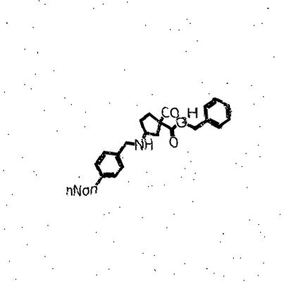 CCCCCCCCCc1ccc(CNC2CCC(C(=O)O)(C(=O)OCc3ccccc3)C2)cc1